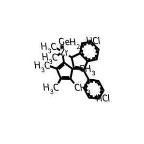 CC1=C(C)C(C)[C]([Zr]([CH3])([CH3])(=[GeH2])[CH]2C=C(c3ccccc3)c3ccccc32)=C1C.Cl.Cl